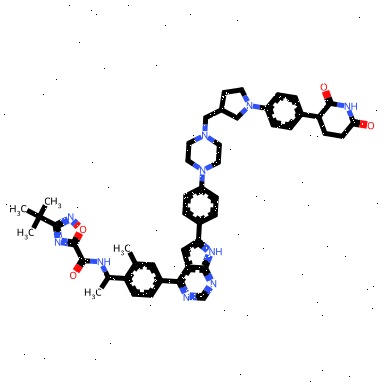 Cc1cc(-c2ncnc3[nH]c(-c4ccc(N5CCN(CC6CCN(c7ccc(C8CCC(=O)NC8=O)cc7)C6)CC5)cc4)cc23)ccc1C(C)NC(=O)c1nc(C(C)(C)C)no1